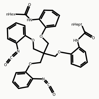 CCCCCCCC(=O)Nc1ccccc1OCC(COc1ccccc1N=C=O)(COc1ccccc1N=C=O)COc1ccccc1NC(=O)CCCCCC